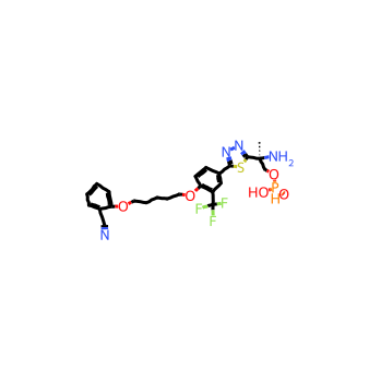 C[C@](N)(CO[PH](=O)O)c1nnc(-c2ccc(OCCCCCOc3ccccc3C#N)c(C(F)(F)F)c2)s1